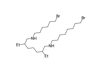 CCC(CCCC(CC)CNCCCCCCCCBr)CNCCCCCCBr